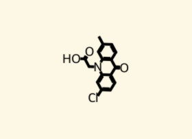 Cc1ccc2c(=O)c3ccc(Cl)cc3n(CC(=O)O)c2c1